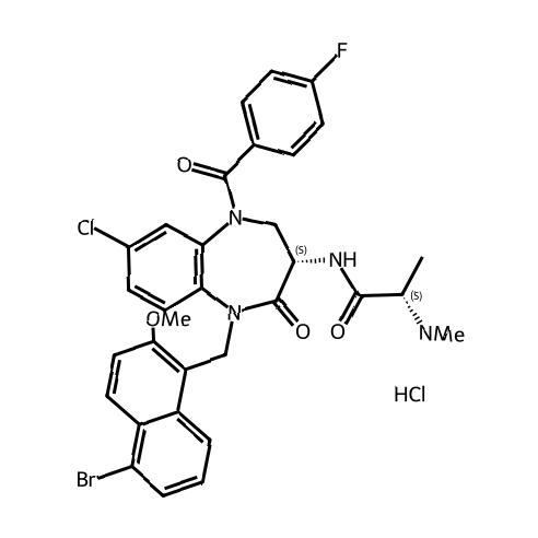 CN[C@@H](C)C(=O)N[C@H]1CN(C(=O)c2ccc(F)cc2)c2cc(Cl)ccc2N(Cc2c(OC)ccc3c(Br)cccc23)C1=O.Cl